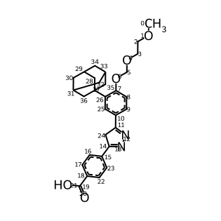 COCCOCOc1ccc(C2=NN=C(c3ccc(C(=O)O)cc3)C2)cc1C12CC3CC(CC(C3)C1)C2